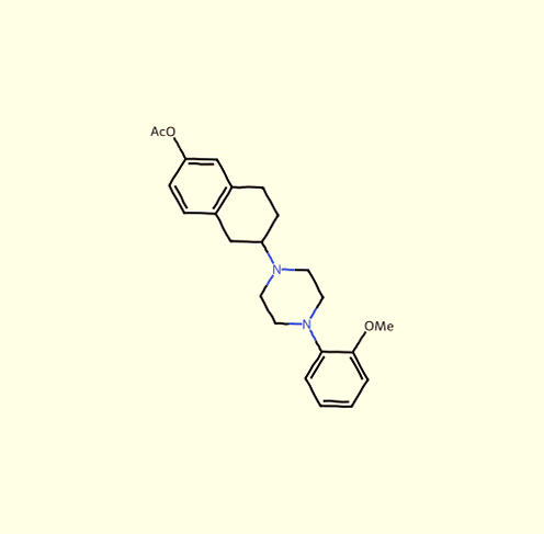 COc1ccccc1N1CCN(C2CCc3cc(OC(C)=O)ccc3C2)CC1